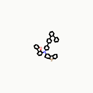 c1ccc(-c2ccccc2-c2ccc(-c3ccc(N(c4ccc5sc6ccccc6c5c4)c4cccc5c4oc4ccccc45)cc3)cc2)cc1